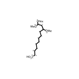 CCCCCCC(CC(CCCCCCCCC(=O)O)OC)OC